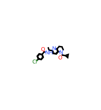 CC(NC(=O)c1ccc(Cl)cc1)c1ccc2c(n1)CCCN2C(=O)C1CC1